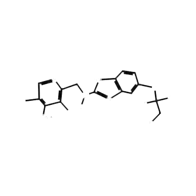 COc1c(C)cnc(C[S+]([O-])c2nc3cc(OC(F)(F)CF)ccc3[nH]2)c1C